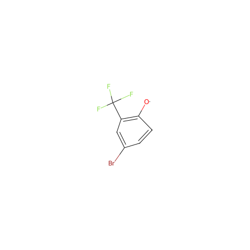 [O]c1ccc(Br)cc1C(F)(F)F